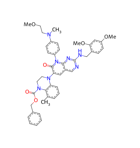 COCCN(C)c1ccc(-n2c(=O)c(N3CCN(C(=O)OCc4ccccc4)c4c(C)cccc43)cc3cnc(NCc4ccc(OC)cc4OC)nc32)cc1